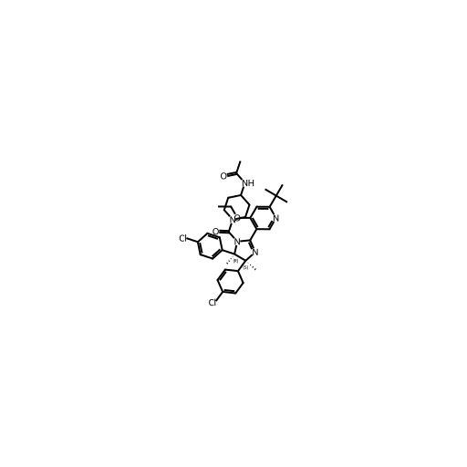 CCOc1cc(C(C)(C)C)ncc1C1=N[C@@](C)(C2C=CC(Cl)=CC2)[C@@](C)(c2ccc(Cl)cc2)N1C(=O)N1CCC(NC(C)=O)CC1